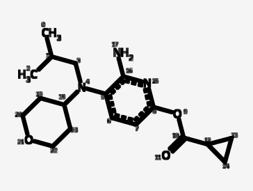 CC(C)CN(c1ccc(OC(=O)C2CC2)nc1N)C1CCOCC1